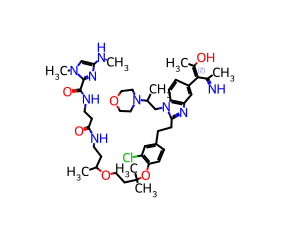 CNc1cn(C)c(C(=O)NCCC(=O)NCCC(C)OCCC(C)(C)Oc2ccc(CCc3nc4cc(/C(C(C)=N)=C(\C)O)ccc4n3CC(C)N3CCOCC3)cc2Cl)n1